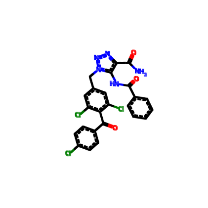 NC(=O)c1nnn(Cc2cc(Cl)c(C(=O)c3ccc(Cl)cc3)c(Cl)c2)c1NC(=O)c1ccccc1